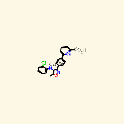 CCOC(=O)N(c1ccccc1Cl)c1c(-c2ccc(-c3cccc(C(=O)O)n3)cc2)noc1C